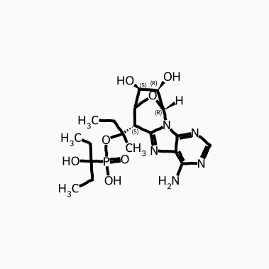 CCC(C)(OP(=O)(O)C(O)(CC)CC)[C@H]1c2nc3c(N)ncnc3n2[C@@H]2OC1[C@@H](O)[C@H]2O